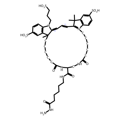 CC1(C)C2=[N+](CCCCCC(=O)NCC(C(=O)NCCCCCC(=O)NN)NC(=O)CCCCCC3(C)/C(=C/C=C/2)N(CCCS(=O)(=O)O)c2ccc(S(=O)(=O)O)cc23)c2ccc(S(=O)(=O)O)cc21